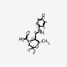 C[C@@H]1OC(F)(F)CN(C(=O)O)C1CNc1ccc(Cl)cn1